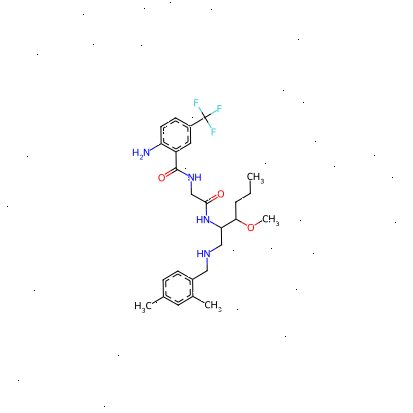 CCCC(OC)C(CNCc1ccc(C)cc1C)NC(=O)CNC(=O)c1cc(C(F)(F)F)ccc1N